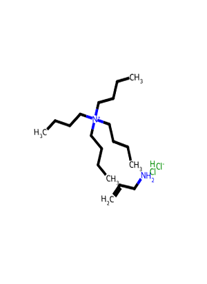 C=CCN.CCCC[N+](CCCC)(CCCC)CCCC.Cl.[Cl-]